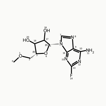 COC[C@H]1O[C@@H](n2cnc3c(N)nc(F)nc32)C(O)C1O